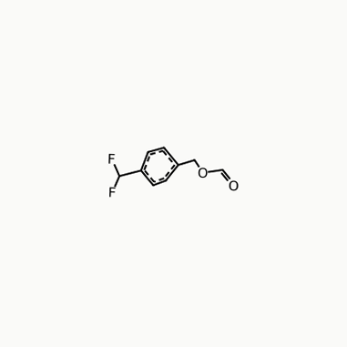 O=COCc1ccc(C(F)F)cc1